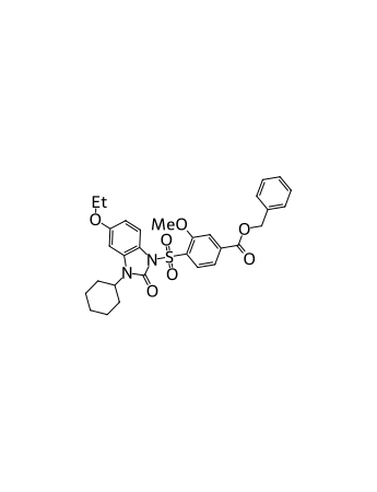 CCOc1ccc2c(c1)n(C1CCCCC1)c(=O)n2S(=O)(=O)c1ccc(C(=O)OCc2ccccc2)cc1OC